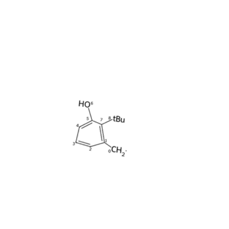 [CH2]c1cccc(O)c1C(C)(C)C